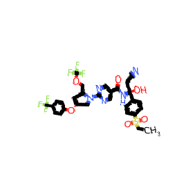 CCS(=O)(=O)c1ccc([C@@](O)(CC#N)NC(=O)c2cnc(N3C[C@H](Oc4ccc(C(F)(F)F)cc4)CC3COC(F)(F)F)nc2)cc1